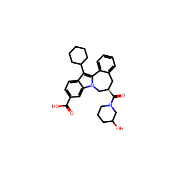 O=C(O)c1ccc2c(C3CCCCC3)c3n(c2c1)C[C@H](C(=O)N1CCCC(O)C1)Cc1ccccc1-3